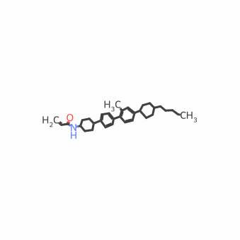 C=CC(=O)NC1CCC(c2ccc(-c3ccc(C4CCC(CCCCC)CC4)cc3C)cc2)CC1